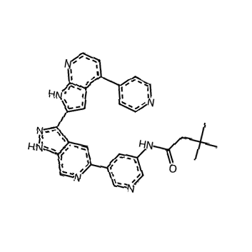 CC(C)(C)CC(=O)Nc1cncc(-c2cc3c(-c4cc5c(-c6ccncc6)ccnc5[nH]4)n[nH]c3cn2)c1